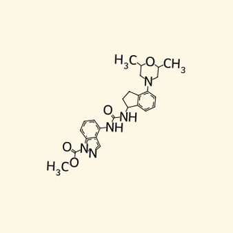 COC(=O)n1ncc2c(NC(=O)NC3CCc4c3cccc4N3CC(C)OC(C)C3)cccc21